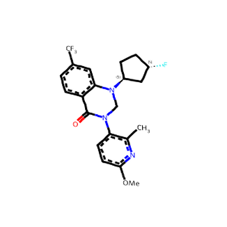 COc1ccc(N2CN([C@H]3CC[C@H](F)C3)c3cc(C(F)(F)F)ccc3C2=O)c(C)n1